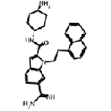 N=C(N)c1ccc2cc(C(=O)N[C@H]3CC[C@H](N)CC3)n(CCc3cccc4ccccc34)c2c1